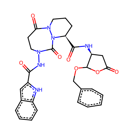 O=C1C[C@H](NC(=O)[C@@H]2CCCN3C(=O)CCN(NC(=O)c4cc5ccccc5[nH]4)C(=O)N23)C(OCc2ccccc2)O1